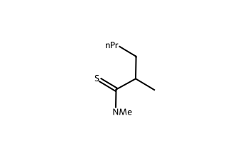 CCCCC(C)C(=S)NC